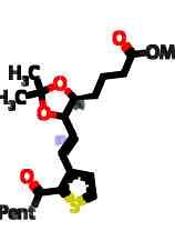 CCCCCC(=O)c1sccc1/C=C/C1OC(C)(C)O[C@H]1CCCC(=O)OC